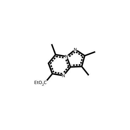 CCOC(=O)c1cc(C)n2nc(C)c(C)c2n1